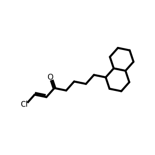 O=C(/C=C/Cl)CCCCC1CCCC2CCCCC12